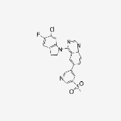 CS(=O)(=O)c1cncc(-c2ccc3ncnc(N4CCc5cc(F)c(Cl)cc54)c3c2)c1